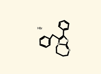 Br.c1ccc(CC2=C(c3ccccc3)SC3=NCCCCN32)cc1